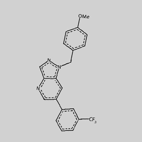 COc1ccc(Cn2ncc3ncc(-c4cccc(C(F)(F)F)c4)cc32)cc1